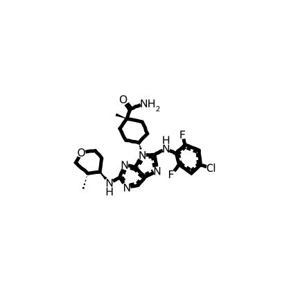 C[C@@H]1COCC[C@H]1Nc1ncc2nc(Nc3c(F)cc(Cl)cc3F)n([C@H]3CC[C@@](C)(C(N)=O)CC3)c2n1